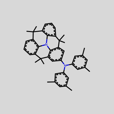 Cc1cc(C)cc(N(c2cc(C)cc(C)c2)c2cc3c4c(c2)C(C)(C)c2cccc5c2N4c2c(cccc2C3(C)C)C5(C)C)c1